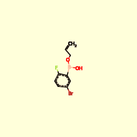 C=CCOB(O)c1cc(Br)ccc1F